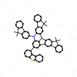 CC1(C)c2ccccc2-c2cc(N3c4cc5c(cc4B4c6cc7c(cc6-c6cc(-c8cccc9sc%10ccccc%10c89)cc3c64)-c3ccccc3C7(C)C)C(C)(C)c3ccccc3-5)ccc21